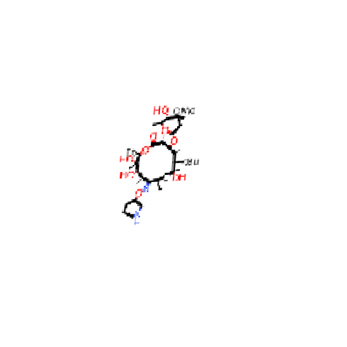 CC[C@H]1OC(=O)[C@H](C)[C@@H](O[C@H]2C[C@@](C)(OC)[C@@H](O)[C@H](C)O2)[C@H](C)[C@@H](C(C)(C)C)[C@](C)(O)C[C@@H](C)C(=NOC2CCCNC2)[C@H](C)[C@@H](O)[C@]1(C)O